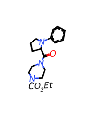 CCOC(=O)N1CCN(C(=O)C2CCCN2c2ccccc2)CC1